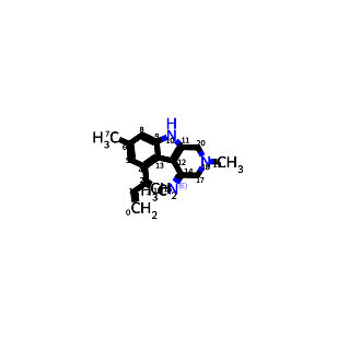 C=CC(=C)c1cc(C)cc2[nH]c3c(c12)/C(=N\C)CN(C)C3